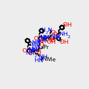 CNC(=N)NCCC[C@H](NC(=O)[C@H](CC(C)C)NC(=O)NNC(=O)[C@H](Cc1ccccc1)NC(=O)[C@H](CO)NC(=O)[C@H](CC(N)=O)NC(=O)[C@@H]1C[C@@H](O)CN1C(=O)[C@@H](N)Cc1ccc(O)cc1)C(=O)N[C@@H](Cc1c[nH]c2ccccc12)C(N)=O